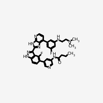 CCCC(=O)Nc1cncc(-c2ccc3[nH]nc(-c4nc5c(-c6cc(F)cc(NCCN(C)C)c6)ccnc5[nH]4)c3c2F)c1